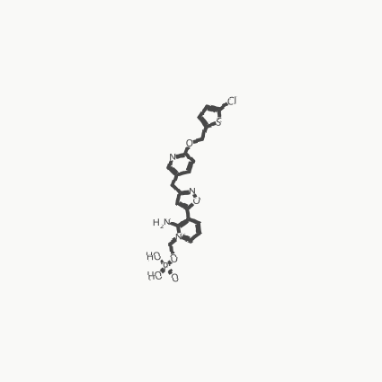 Nc1c(-c2cc(Cc3ccc(OCc4ccc(Cl)s4)nc3)no2)ccc[n+]1COP(=O)(O)O